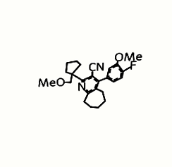 COCC1(c2nc3c(c(-c4ccc(F)c(OC)c4)c2C#N)CCCCC3)CCCC1